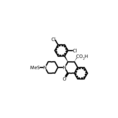 CSN1CCC(N2C(=O)c3ccccc3[C@@H](C(=O)O)[C@@H]2c2ccc(Cl)cc2Cl)CC1